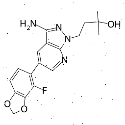 CC(C)(O)CCn1nc(N)c2cc(-c3ccc4c(c3F)OCO4)cnc21